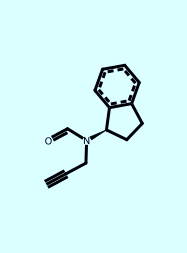 C#CCN(C=O)[C@@H]1CCc2ccccc21